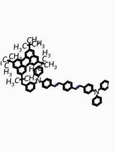 CC(C)(C)c1cc2cc(C(C)(C)C)cc3c4cc(C(C)(C)Cc5cccc(N(c6ccccc6)c6ccc(/C=C/c7ccc(/C=C/c8ccc(N(c9ccccc9)c9ccccc9)cc8)cc7)cc6)c5)cc5cc(C(C)(C)C)cc(c(c1)c23)c54